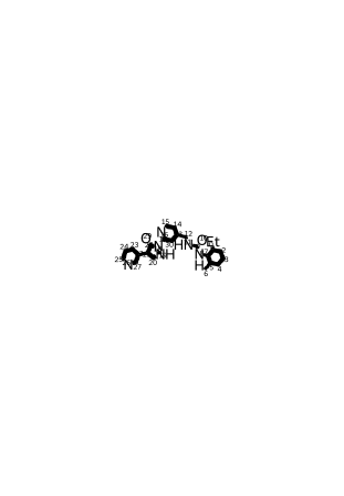 CCc1cccc(C)c1NC(=O)NCc1ccnc(-n2[nH]cc(-c3cccnc3)c2=O)c1